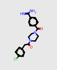 N=C(N)c1ccc(C(=O)N2CCN(C(=O)Cc3ccc(Cl)cc3)CC2)cc1